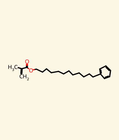 C=C(C)C(=O)OCCCCCCCCCCCCc1ccccc1